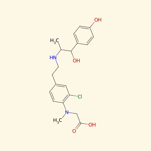 CC(NCCc1ccc(N(C)CC(=O)O)c(Cl)c1)C(O)c1ccc(O)cc1